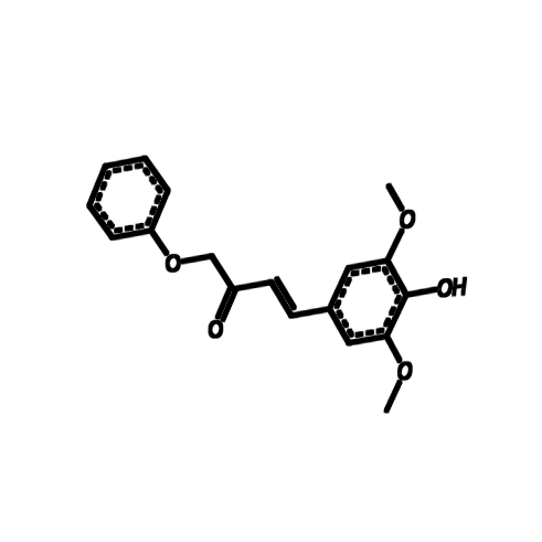 COc1cc(C=CC(=O)COc2ccccc2)cc(OC)c1O